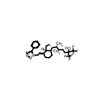 C[C@H](CCCC(O)(C(F)(F)F)C(F)(F)F)[C@H]1CC[C@H]2/C(=C/Cn3nnnc3-c3ccccc3)CCC[C@]12C